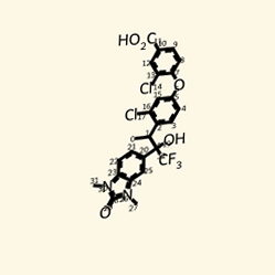 CC(c1ccc(Oc2ccc(C(=O)O)cc2Cl)cc1Cl)C(O)(c1ccc2c(c1)n(C)c(=O)n2C)C(F)(F)F